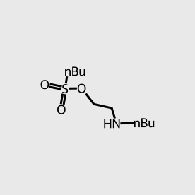 CCCCNCCOS(=O)(=O)CCCC